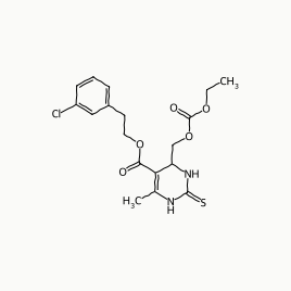 CCOC(=O)OCC1NC(=S)NC(C)=C1C(=O)OCCc1cccc(Cl)c1